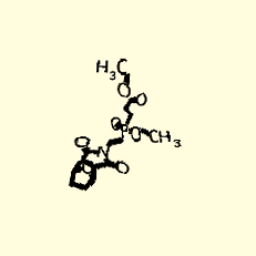 CCOC(=O)CCP(=O)(CCN1C(=O)C2C3CCC(O3)C2C1=O)OCC